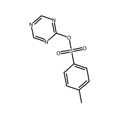 Cc1ccc(S(=O)(=O)Oc2ncncn2)cc1